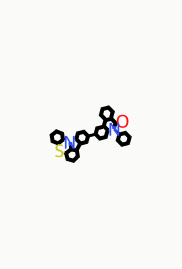 O=c1c2ccccc2c2cc(-c3ccc4c(c3)c3cccc5c3n4-c3ccccc3S5)ccc2n1-c1ccccc1